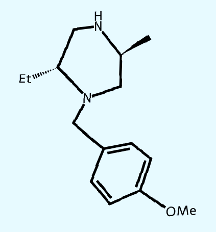 CC[C@@H]1CN[C@@H](C)CN1Cc1ccc(OC)cc1